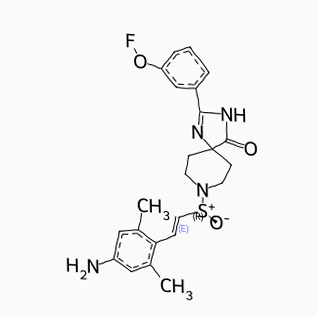 Cc1cc(N)cc(C)c1/C=C/[S@+]([O-])N1CCC2(CC1)N=C(c1cccc(OF)c1)NC2=O